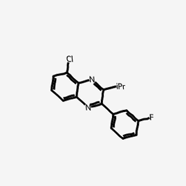 CC(C)c1nc2c(Cl)cccc2nc1-c1cccc(F)c1